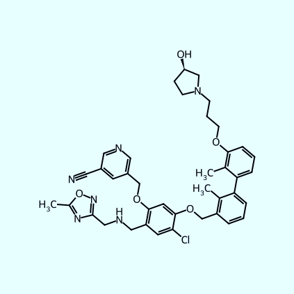 Cc1nc(CNCc2cc(Cl)c(OCc3cccc(-c4cccc(OCCCN5CC[C@@H](O)C5)c4C)c3C)cc2OCc2cncc(C#N)c2)no1